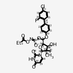 CCC(=O)ON=[P+]([O-])OC(Oc1ccc(-c2ccc(Cl)cc2F)cc1)[C@@H]1O[C@@H](n2ccc(=O)[nH]c2=O)[C@](C)(F)[C@@H]1O